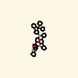 c1ccc(-c2ccc(N(c3ccc4c(c3)C(c3ccccc3)(c3ccccc3)c3ccccc3-4)c3ccccc3-c3ccc4c(c3)c3ccccc3n4-c3ccc4sc5ccccc5c4c3)cc2)cc1